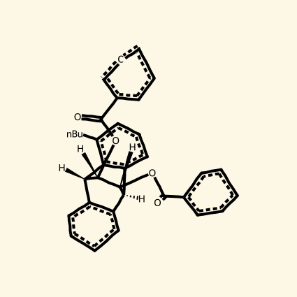 CCCCc1cccc2c1[C@H]1c3ccccc3[C@H]2[C@@H](OC(=O)c2ccccc2)[C@H]1OC(=O)c1ccccc1